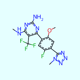 CNc1nc(N)nc(-c2cc(F)c(-c3nnnn3C)cc2OC)c1C(F)(F)F